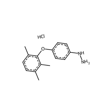 Cc1ccc(C)c(Oc2ccc(NN)cc2)c1C.Cl